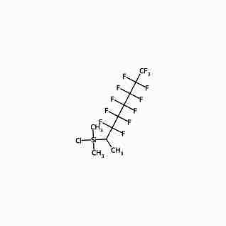 CC(C(F)(F)C(F)(F)C(F)(F)C(F)(F)C(F)(F)C(F)(F)F)[Si](C)(C)Cl